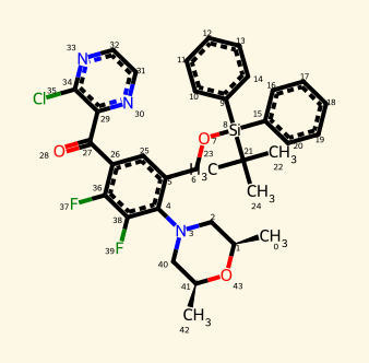 C[C@@H]1CN(c2c(CO[Si](c3ccccc3)(c3ccccc3)C(C)(C)C)cc(C(=O)c3nccnc3Cl)c(F)c2F)C[C@H](C)O1